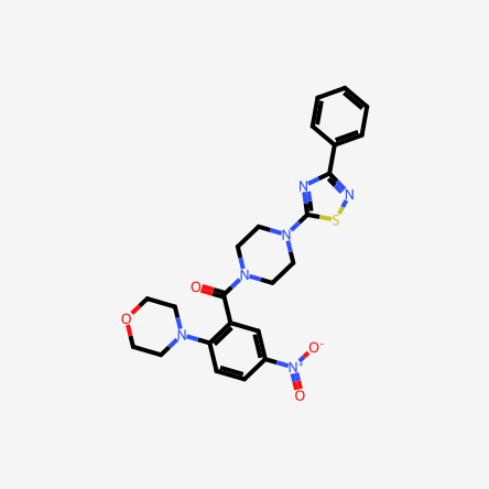 O=C(c1cc([N+](=O)[O-])ccc1N1CCOCC1)N1CCN(c2nc(-c3ccccc3)ns2)CC1